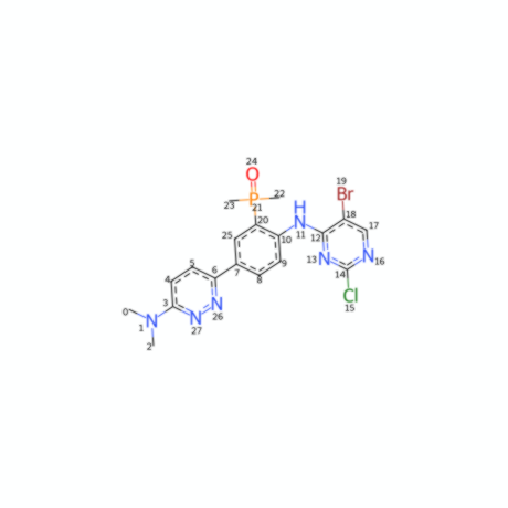 CN(C)c1ccc(-c2ccc(Nc3nc(Cl)ncc3Br)c(P(C)(C)=O)c2)nn1